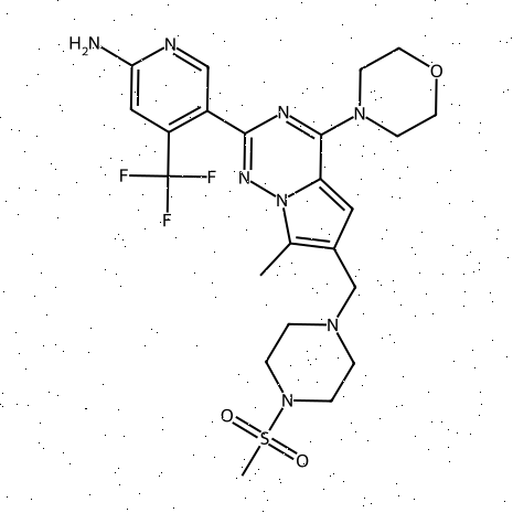 Cc1c(CN2CCN(S(C)(=O)=O)CC2)cc2c(N3CCOCC3)nc(-c3cnc(N)cc3C(F)(F)F)nn12